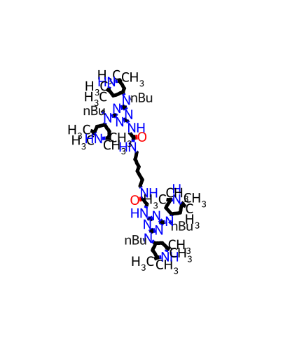 CCCCN(c1nc(NCC(=O)NCCCCCCNC(=O)CNc2nc(N(CCCC)C3CC(C)(C)NC(C)(C)C3)nc(N(CCCC)C3CC(C)(C)NC(C)(C)C3)n2)nc(N(CCCC)C2CC(C)(C)NC(C)(C)C2)n1)C1CC(C)(C)NC(C)(C)C1